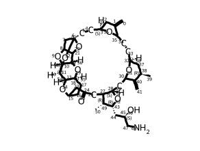 C=C1C[C@@H]2CC[C@@]34CC5O[C@H]6[C@@H](O3)[C@H]3OC(CC[C@@H]3O[C@H]6C5O4)CC(=O)CC3[C@H](CC4O[C@@H](CCC1O2)C[C@@H](C)C4=C)O[C@H](C[C@H](O)CN)[C@@H]3C